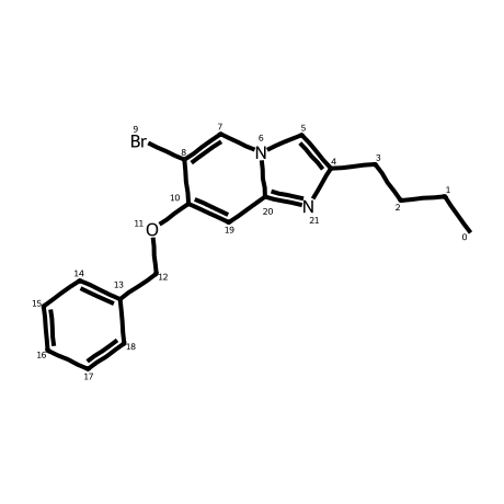 CCCCc1cn2cc(Br)c(OCc3ccccc3)cc2n1